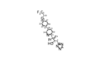 OC(Cn1ncnn1)C(F)(F)c1ccc(-c2ccc(OCC(F)(F)F)cc2)cn1